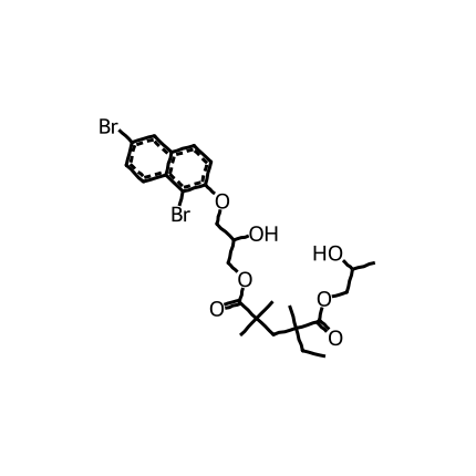 CCC(C)(CC(C)(C)C(=O)OCC(O)COc1ccc2cc(Br)ccc2c1Br)C(=O)OCC(C)O